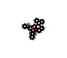 c1ccc(C2=C(c3ccccc3)c3cccc4c3c3c5c2cccc5ccc3n4-c2nc3ccccc3nc2-c2ccc3sc4ccccc4c3c2)cc1